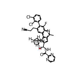 Cc1nc2c(F)c(-c3cccc(Cl)c3Cl)c(CCC#N)cc2c2c1cc(C(C)NC(=O)c1ncccn1)n2[C@H]1[C@H]2CN[C@@H]1C2